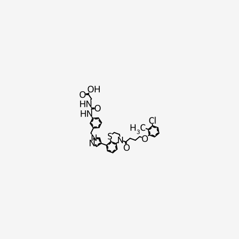 Cc1c(Cl)cccc1OCCCC(=O)N1CCSc2c(-c3cnn(Cc4cccc(NC(=O)NCC(=O)O)c4)c3)cccc21